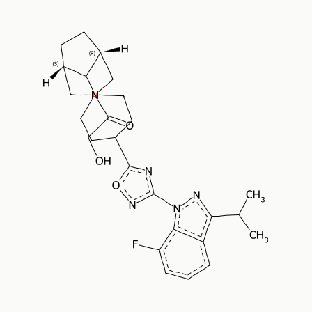 CC(C)c1nn(-c2noc(C3CCN(C4[C@@H]5CC[C@H]4CN(C(=O)CO)C5)CC3)n2)c2c(F)cccc12